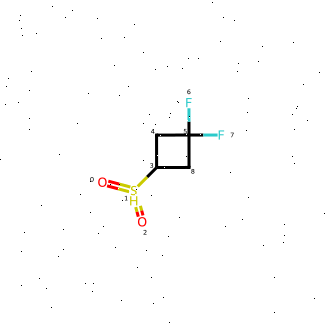 O=[SH](=O)C1CC(F)(F)C1